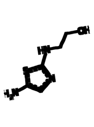 Nc1cnc(NCCO)s1